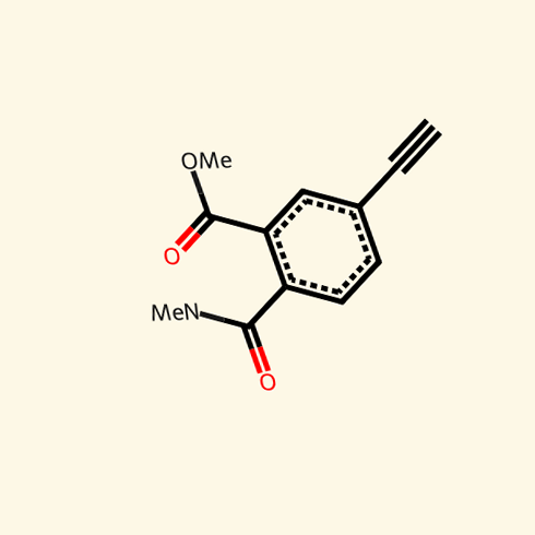 C#Cc1ccc(C(=O)NC)c(C(=O)OC)c1